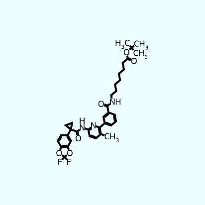 Cc1ccc(NC(=O)C2(c3ccc4c(c3)OC(F)(F)O4)CC2)nc1-c1cccc(C(=O)NCCCCCCCC(=O)OC(C)(C)C)c1